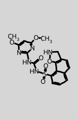 COc1cc(OC)nc(NC(=O)NS(=O)(=O)c2cccc3ccc4c(c23)ONC4)n1